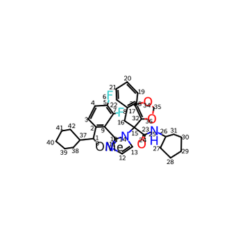 COC(c1ccc(F)c(F)c1-c1nccn1C(Cc1ccccc1)(C(=O)NC1CCCCC1)C1=COCO1)C1CCCCC1